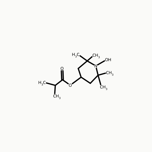 CC(C)C(=O)OC1CC(C)(C)N(O)C(C)(C)C1